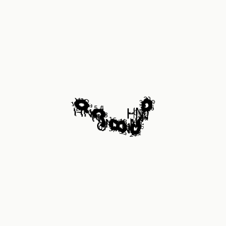 O=C(c1cccc(Nc2ccccc2)n1)N1CC2CN(c3cccc(-c4nc5ccccc5[nH]4)n3)CC2C1